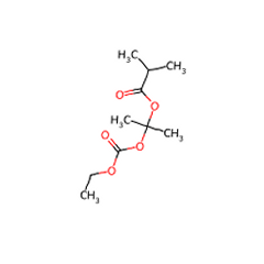 CCOC(=O)OC(C)(C)OC(=O)C(C)C